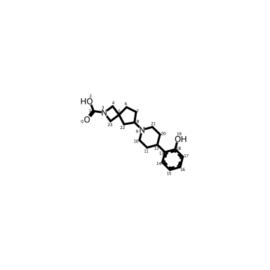 O=C(O)N1CC2(CCC(N3CCC(c4ccccc4O)CC3)C2)C1